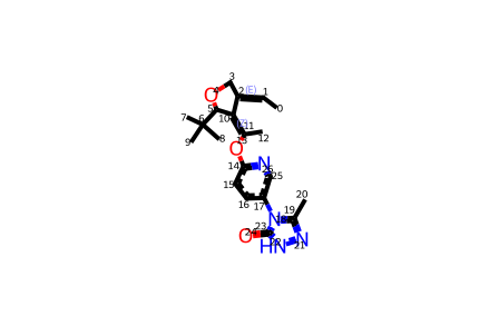 C/C=C1/COC(C(C)(C)C)/C1=C(/C)Oc1ccc(-n2c(C)n[nH]c2=O)cn1